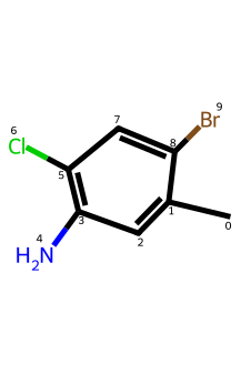 Cc1cc(N)c(Cl)cc1Br